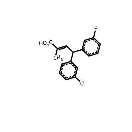 C/C(=C\C(c1cccc(F)c1)c1cccc(Cl)c1)C(=O)O